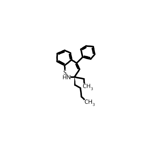 CCCC[C@]1(CC)C=C(c2ccccc2)c2ccccc2SN1